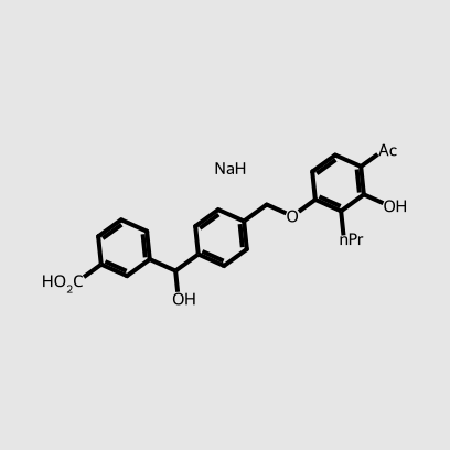 CCCc1c(OCc2ccc(C(O)c3cccc(C(=O)O)c3)cc2)ccc(C(C)=O)c1O.[NaH]